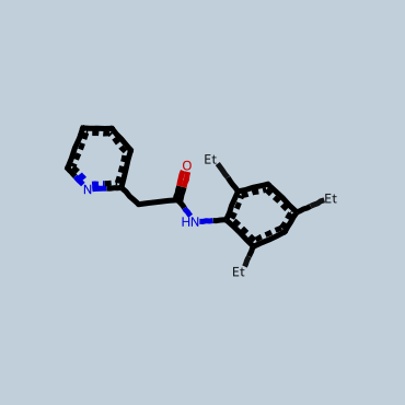 CCc1cc(CC)c(NC(=O)Cc2ccccn2)c(CC)c1